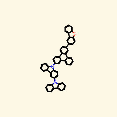 c1ccc2c(c1)oc1ccc(-c3ccc4c5ccc(-n6c7ccccc7c7cc(-n8c9ccccc9c9ccccc98)ccc76)cc5c5ccccc5c4c3)cc12